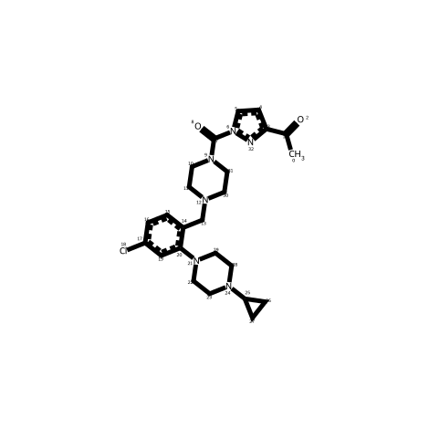 CC(=O)c1ccn(C(=O)N2CCN(Cc3ccc(Cl)cc3N3CCN(C4CC4)CC3)CC2)n1